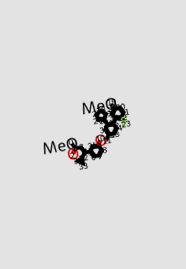 COC(=O)CC(c1cccc(OCc2ccc(-c3cc(OC)ccc3F)c(C3=CCCC3)c2)c1)C1CC1